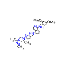 C=N/N=C(\N1CCN(c2ccc(CNc3cccc4c(NCc5ccc(OC)cc5OC)nccc34)cn2)C(C)C1)C(F)(F)F